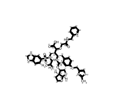 Cc1nc(COc2ccc(C[C@H](NC(=O)O[C@H]3CO[C@H]4OCC[C@H]43)[C@@H](CN(CC(C)C)S(=O)(=O)c3ccc4c(c3)OCO4)C(OCC(=O)NCc3ccccn3)C(=O)O)cc2)cs1